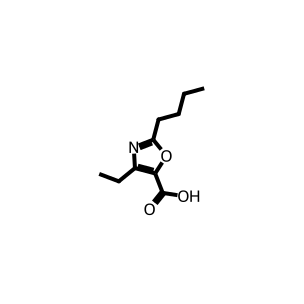 CCCCc1nc(CC)c(C(=O)O)o1